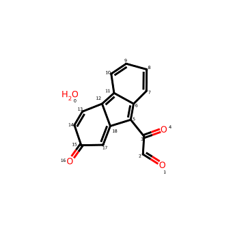 O.O=CC(=O)C1=c2ccccc2=C2C=CC(=O)C=C21